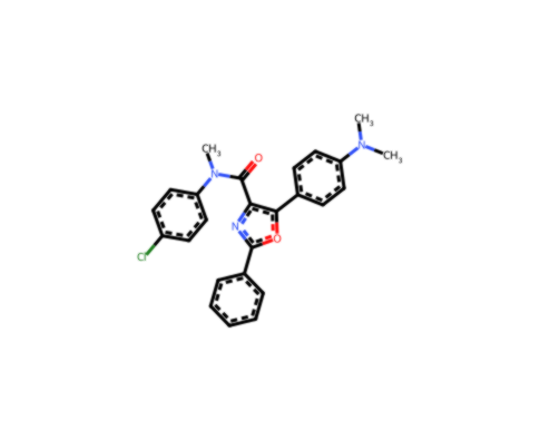 CN(C)c1ccc(-c2oc(-c3ccccc3)nc2C(=O)N(C)c2ccc(Cl)cc2)cc1